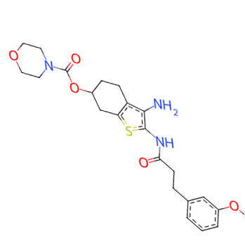 COc1cccc(CCC(=O)Nc2sc3c(c2N)CCC(OC(=O)N2CCOCC2)C3)c1